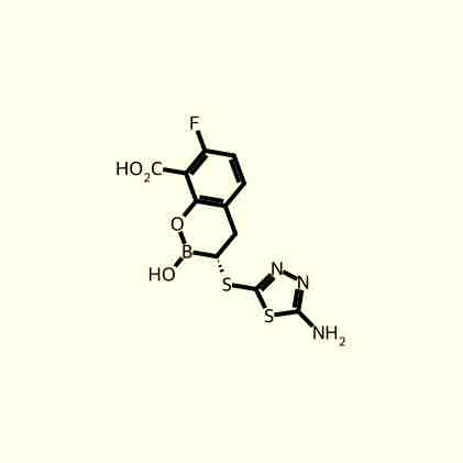 Nc1nnc(S[C@H]2Cc3ccc(F)c(C(=O)O)c3OB2O)s1